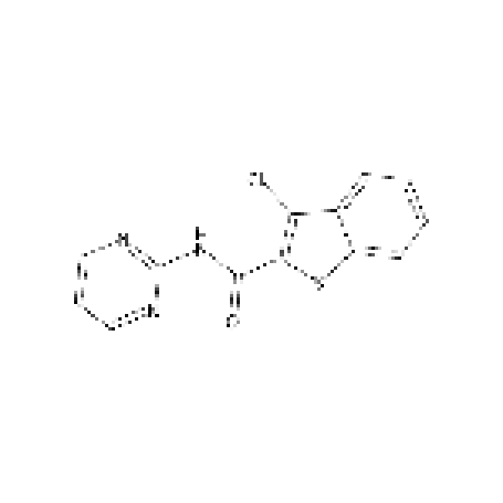 O=C(Nc1ncccn1)c1sc2ccccc2c1Cl